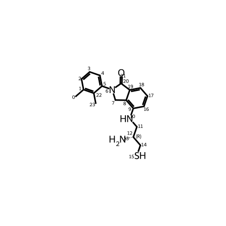 Cc1cccc(N2Cc3c(NC[C@@H](N)CS)cccc3C2=O)c1C